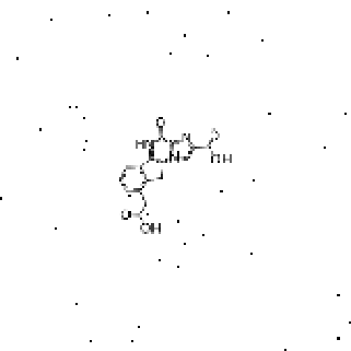 O=C(O)Cc1cccc2c1Cc1c-2[nH]c(=O)c2nc(C(=O)O)cn12